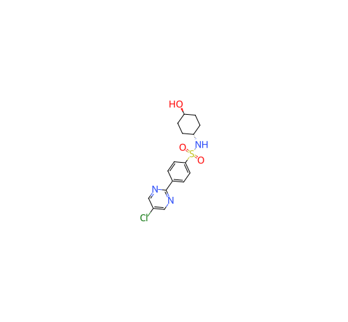 O=S(=O)(N[C@H]1CC[C@H](O)CC1)c1ccc(-c2ncc(Cl)cn2)cc1